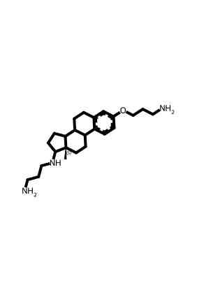 C[C@]12CCC3c4ccc(OCCCN)cc4CCC3C1CCC2NCCCN